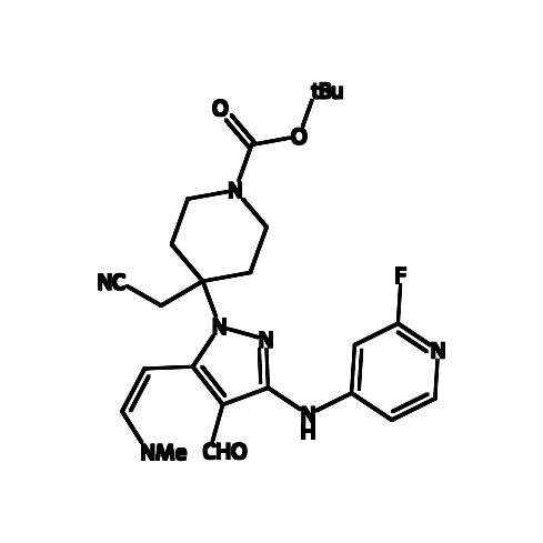 CN/C=C\c1c(C=O)c(Nc2ccnc(F)c2)nn1C1(CC#N)CCN(C(=O)OC(C)(C)C)CC1